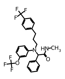 CNC(=O)C(c1ccccc1)N(CCCc1ccc(C(F)(F)F)cc1)c1cccc(OC(F)(F)F)c1